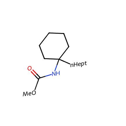 CCCCCCCC1(NC(=O)OC)CCCCC1